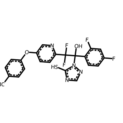 N#Cc1ccc(Oc2ccc(C(F)(F)C(O)(c3ccc(F)cc3F)n3ncnc3S)nc2)cc1